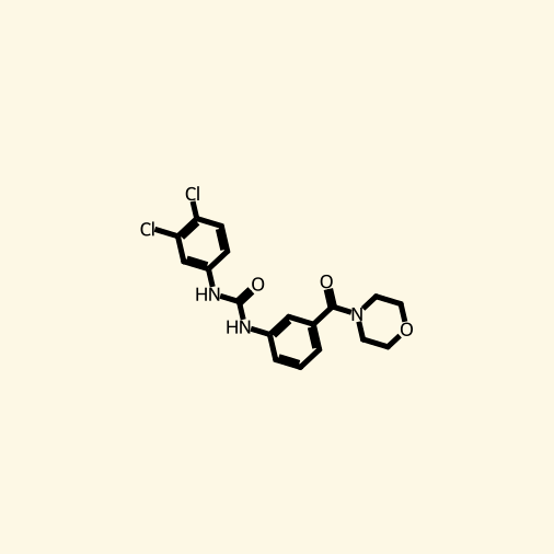 O=C(Nc1cccc(C(=O)N2CCOCC2)c1)Nc1ccc(Cl)c(Cl)c1